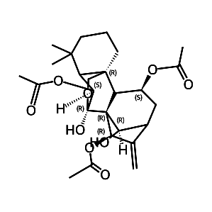 C=C1C2C[C@H](OC(C)=O)C3[C@]45CCCC(C)(C)C4[C@H](OC(C)=O)[C@](O)(OC5)[C@@]3([C@@H]1OC(C)=O)[C@@H]2O